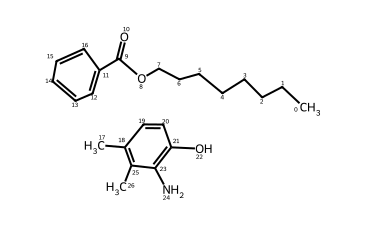 CCCCCCCCOC(=O)c1ccccc1.Cc1ccc(O)c(N)c1C